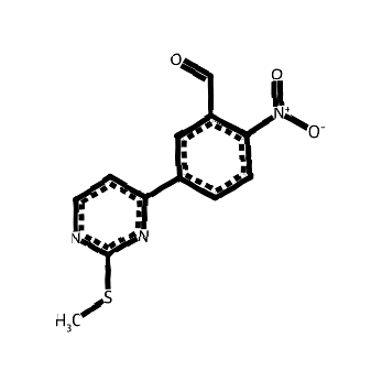 CSc1nccc(-c2ccc([N+](=O)[O-])c(C=O)c2)n1